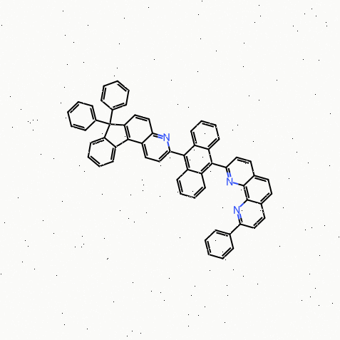 c1ccc(-c2ccc3ccc4ccc(-c5c6ccccc6c(-c6ccc7c8c(ccc7n6)C(c6ccccc6)(c6ccccc6)c6ccccc6-8)c6ccccc56)nc4c3n2)cc1